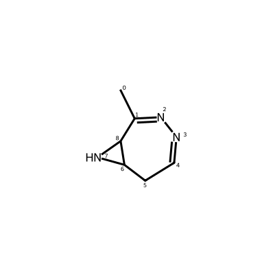 CC1=NN=CCC2NC12